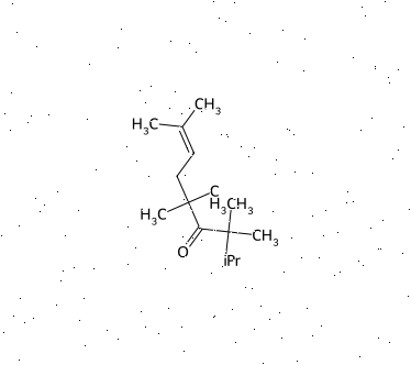 CC(C)=CCC(C)(C)C(=O)C(C)(C)C(C)C